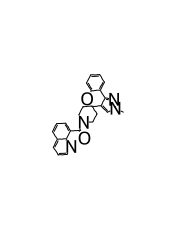 Cn1cc2c(n1)-c1ccccc1OC21CCN(C(=O)c2cccc3cccnc23)CC1